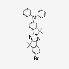 CC1(C)c2cc(Br)ccc2-c2nc3c(nc21)-c1ccc(N(c2ccccc2)c2ccccc2)cc1C3(C)C